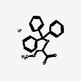 COC[C@@H](OC(c1ccccc1)(c1ccccc1)c1ccccc1)C(=O)[O-].[Li+]